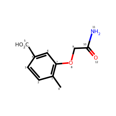 Cc1ccc(C(=O)O)cc1OCC(N)=O